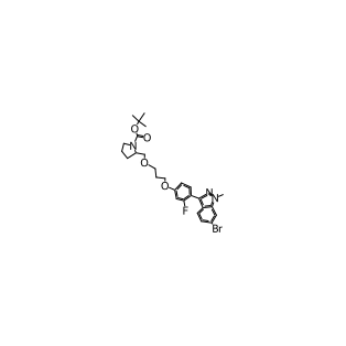 Cn1nc(-c2ccc(OCCCOCC3CCCN3C(=O)OC(C)(C)C)cc2F)c2ccc(Br)cc21